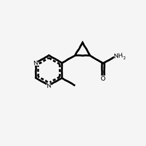 Cc1ncncc1C1CC1C(N)=O